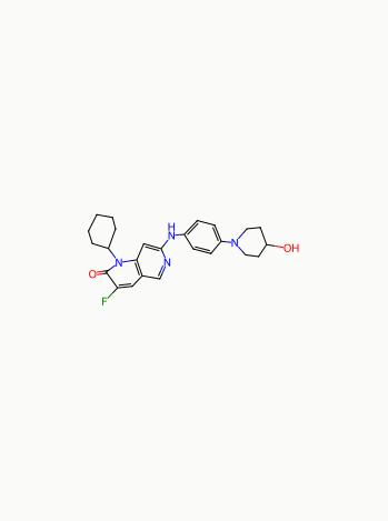 O=c1c(F)cc2cnc(Nc3ccc(N4CCC(O)CC4)cc3)cc2n1C1CCCCC1